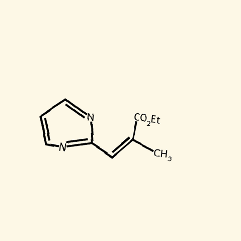 CCOC(=O)/C(C)=C\c1ncccn1